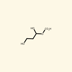 O=C(O)OC(O)CCO